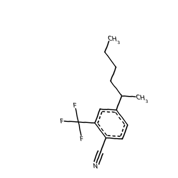 CCCC[C](C)c1ccc(C#N)c(C(F)(F)F)c1